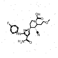 COCCC1[C@H](C#N)[C@@H](n2cc(C(N)=O)c(Nc3ccc(F)cc3)n2)CCN1C(=O)O